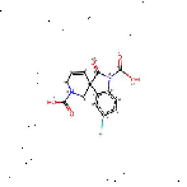 O=C(O)N1CC=CC2(C1)C(=O)N(C(=O)O)c1ccc(F)cc12